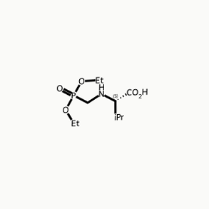 CCOP(=O)(CN[C@H](C(=O)O)C(C)C)OCC